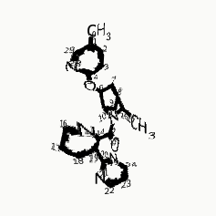 Cc1ccc(OC2CC3CC2N(C(=O)c2ncccc2-c2ncccn2)C3C)nc1